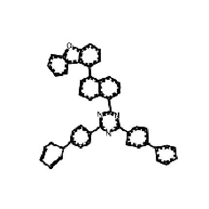 C1=CCC(c2ccc(-c3nc(-c4ccc(-c5ccccc5)cc4)nc(-c4cccc5c(-c6cccc7oc8ccccc8c67)cccc45)n3)cc2)C=C1